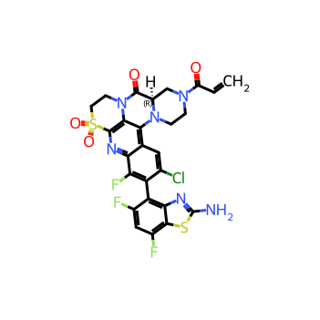 C=CC(=O)N1CCN2c3c4c(nc5c(F)c(-c6c(F)cc(F)c7sc(N)nc67)c(Cl)cc35)S(=O)(=O)CCN4C(=O)[C@H]2C1